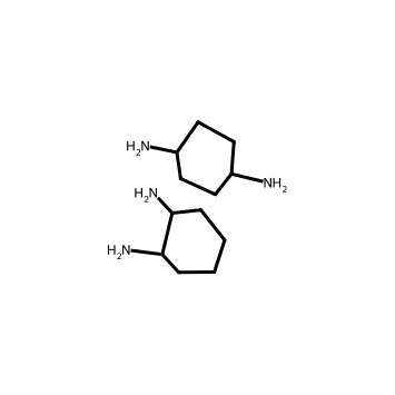 NC1CCC(N)CC1.NC1CCCCC1N